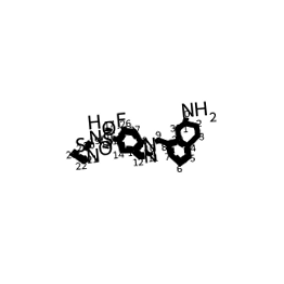 NC1CCc2cccc(Cn3ncc4cc(S(=O)(=O)Nc5nccs5)c(F)cc43)c2C1